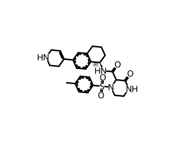 Cc1ccc(S(=O)(=O)N2CCNC(=O)C2C(=O)N[C@@H]2CCCc3cc(C4=CCNCC4)ccc32)cc1